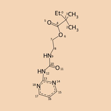 CCC(C)(C)C(=O)OCCNC(=O)Nc1ncccn1